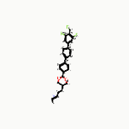 C/C=C/CCC1COC(c2ccc(-c3ccc(-c4cc(F)c(CF)c(F)c4)cc3)cc2)OC1